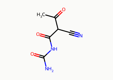 CC(=O)C(C#N)C(=O)NC(N)=O